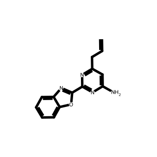 C=CCc1cc(N)nc(-c2nc3ccccc3o2)n1